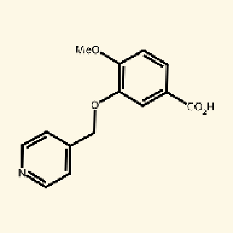 COc1ccc(C(=O)O)cc1OCc1ccncc1